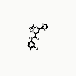 O=C(Nc1ccc(F)c(Cl)c1)C1CC(c2nccs2)NS(=O)(=O)N1